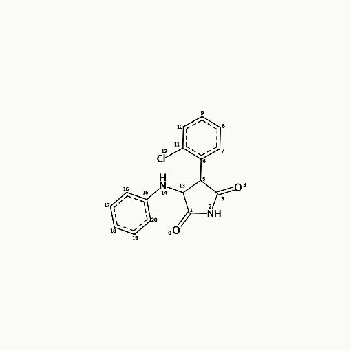 O=C1NC(=O)C(c2ccccc2Cl)C1Nc1ccccc1